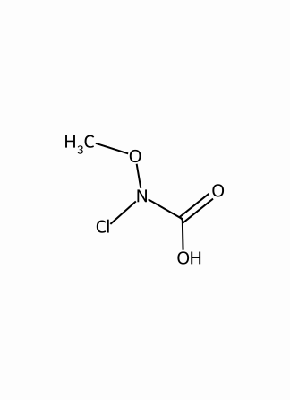 CON(Cl)C(=O)O